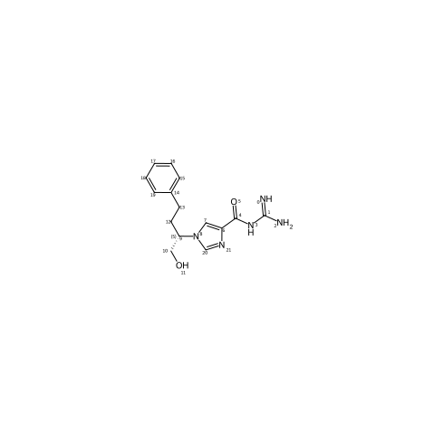 N=C(N)NC(=O)c1cn([C@H](CO)CCc2ccccc2)cn1